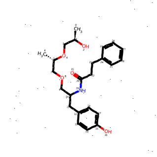 C[C@@H](O)CO[C@@H](C)COCC(Cc1ccc(O)cc1)NC(=O)CCc1ccccc1